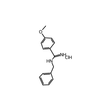 COc1ccc(C(=N)NCc2ccccc2)cc1.Cl